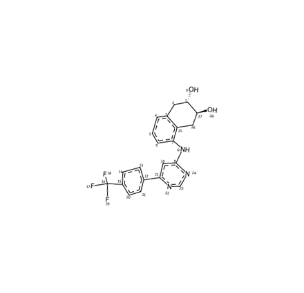 O[C@H]1Cc2cccc(Nc3cc(-c4ccc(C(F)(F)F)cc4)ncn3)c2C[C@@H]1O